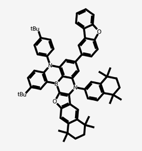 CC(C)(C)c1ccc(N2c3ccc(C(C)(C)C)cc3B3c4oc5cc6c(cc5c4N(c4ccc5c(c4)C(C)(C)CCC5(C)C)c4cc(-c5ccc7oc8ccccc8c7c5)cc2c43)C(C)(C)CCC6(C)C)cc1